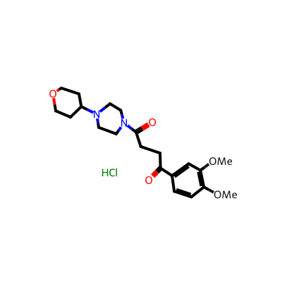 COc1ccc(C(=O)CCC(=O)N2CCN(C3CCOCC3)CC2)cc1OC.Cl